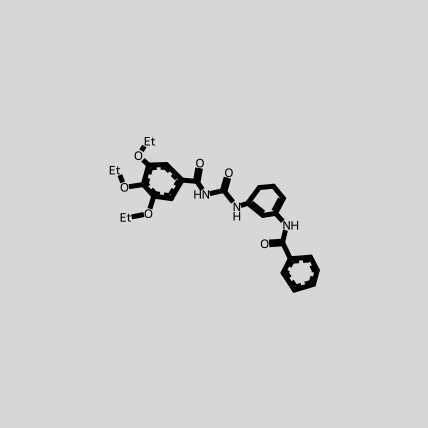 CCOc1cc(C(=O)NC(=O)NC2=CC(NC(=O)c3ccccc3)=CCC2)cc(OCC)c1OCC